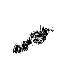 CN1CCN([C@@H]2CCCN(c3cnc(C(N)=O)c(Nc4ccc(C5CCN(C[C@@H]6CCC(c7cc8onc(C9CCC(=O)NC9=O)c8c8cc[nH]c78)C6)CC5)cc4)n3)C2)C1=O